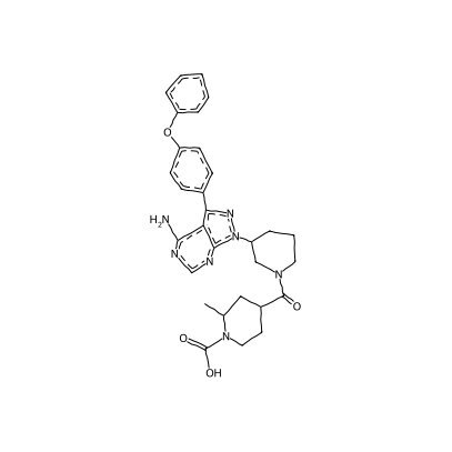 CC1CC(C(=O)N2CCCC(n3nc(-c4ccc(Oc5ccccc5)cc4)c4c(N)ncnc43)C2)CCN1C(=O)O